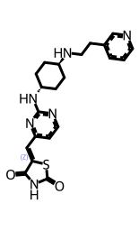 O=C1NC(=O)/C(=C/c2ccnc(N[C@H]3CC[C@H](NCCc4cccnc4)CC3)n2)S1